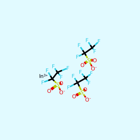 O=S(=O)([O-])C(F)(F)C(F)(F)F.O=S(=O)([O-])C(F)(F)C(F)(F)F.O=S(=O)([O-])C(F)(F)C(F)(F)F.[In+3]